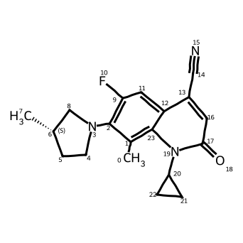 Cc1c(N2CC[C@H](C)C2)c(F)cc2c(C#N)cc(=O)n(C3CC3)c12